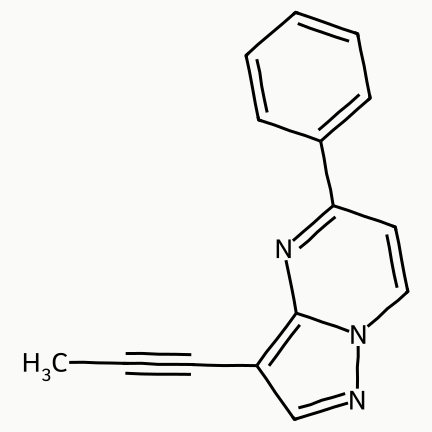 CC#Cc1cnn2ccc(-c3ccccc3)nc12